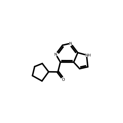 O=C(c1ncnc2[nH]ccc12)C1CCCC1